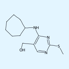 CSc1ncc(CO)c(NC2CCCCCC2)n1